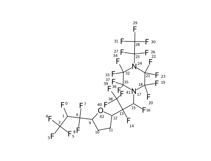 FC(C(F)(F)F)C(F)(F)C1CCC(C(F)(C(F)N2C(F)(F)C(F)(F)N(C(F)(F)C(F)(F)F)C(F)(F)C2(F)F)C(F)(F)F)O1